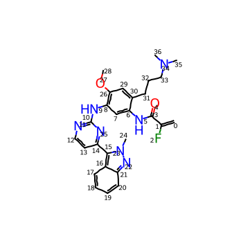 C=C(F)C(=O)Nc1cc(Nc2nccc(-c3c4ccccc4nn3C)n2)c(OC)cc1CCCN(C)C